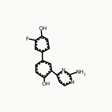 Nc1nccc(-c2cc(-c3ccc(O)c(F)c3)ccc2O)n1